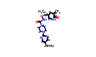 CC(=O)Nc1cnc(N2CCN(C(=O)NO[C@H](C)c3c[nH]c(=O)c(C(F)(F)F)c3)CC2)nc1